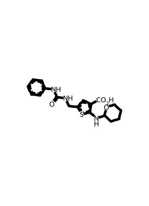 O=C(NCc1cc(C(=O)O)c(NC2CCCCO2)s1)Nc1ccccc1